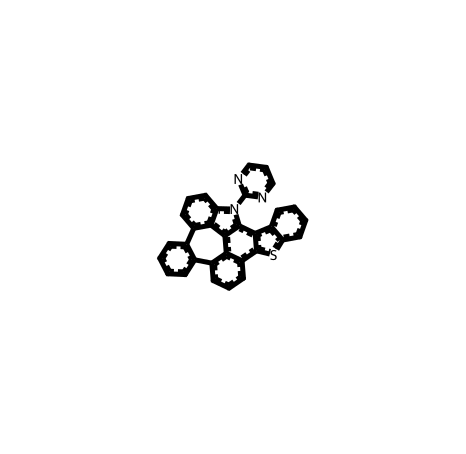 c1cnc(-n2c3cccc4c3c3c5c(cccc5c5sc6ccccc6c5c32)-c2ccccc2-4)nc1